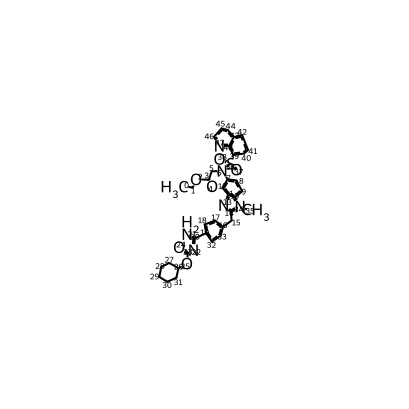 CCOC(=O)CN(c1ccc2c(c1)nc(Cc1ccc(C(N)=NC(=O)OC3CCCCC3)cc1)n2C)S(=O)(=O)c1cccc2cccnc12